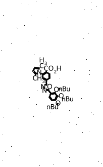 CCCCOc1ccc(-c2nnc(-c3ccc(C(=O)O)c(-n4c(C)ccc4C)c3)o2)c(OCCCC)c1OCCCC